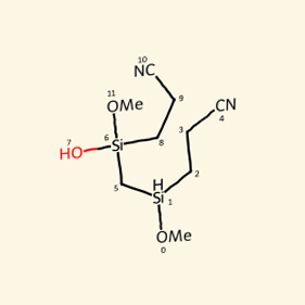 CO[SiH](CCC#N)C[Si](O)(CCC#N)OC